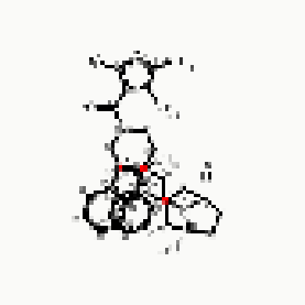 Cc1oc(C(C)C)c(C(=O)N2CCC(CCN3[C@@H]4CC[C@H]3CC(n3c(C)nc5ccccc53)C4)(c3ccccc3)CC2)c1C